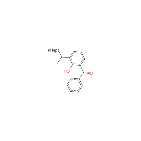 CCCCCCCC(C)c1cccc(C(=O)c2ccccc2)c1O